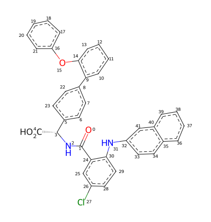 O=C(N[C@H](C(=O)O)c1ccc(-c2ccccc2Oc2ccccc2)cc1)c1cc(Cl)ccc1Nc1ccc2ccccc2c1